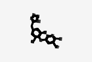 CC(C)c1cc(Oc2c(Cl)cc(Cc3nnn[nH]3)cc2Cl)nnc1Cl